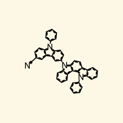 N#Cc1ccc2c(c1)c1cc(-n3c4ccccc4c4c3ccc3c5ccccc5n(-c5ccccc5)c34)ccc1n2-c1ccccc1